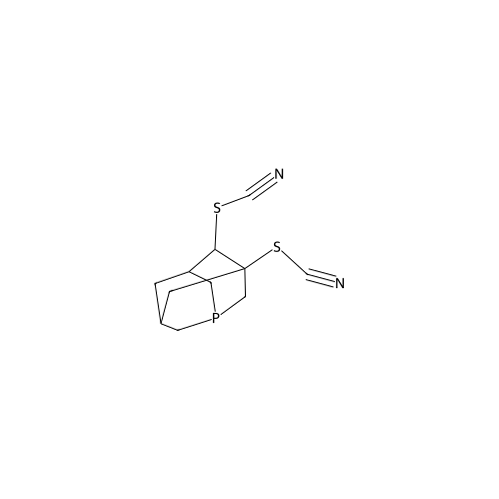 N#CSC1C2CC3CP(C2)CC1(SC#N)C3